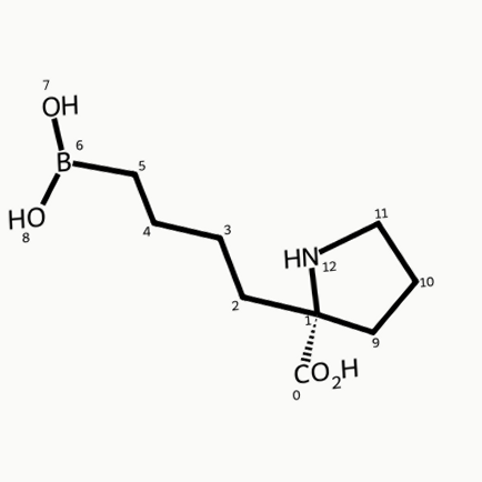 O=C(O)[C@@]1(CCCCB(O)O)CCCN1